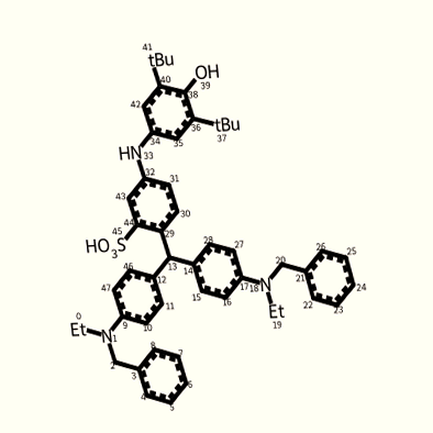 CCN(Cc1ccccc1)c1ccc(C(c2ccc(N(CC)Cc3ccccc3)cc2)c2ccc(Nc3cc(C(C)(C)C)c(O)c(C(C)(C)C)c3)cc2S(=O)(=O)O)cc1